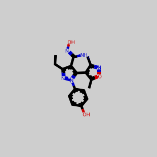 CCc1nn(-c2ccc(O)cc2)c(-c2c(C)noc2C)c1/C(N)=N/O